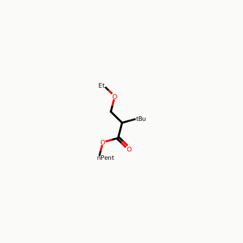 CCCCCOC(=O)C(COCC)C(C)(C)C